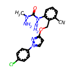 CN(N)C(=O)N(N)c1cccc(C#N)c1COc1ccn(-c2ccc(Cl)cc2)n1